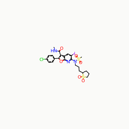 CNC(=O)c1c(-c2ccc(Cl)cc2)oc2nc(N(CCCC3CCCS3(=O)=O)S(C)(=O)=O)c(I)cc12